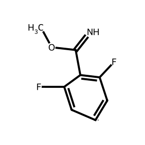 COC(=N)c1c(F)c[c]cc1F